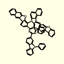 c1ccc(-n2c3ccccc3c3ccc(-c4nc(-c5ccc6sc7ccccc7c6c5)nc(-c5ccc6c(oc7cc8ccccc8cc76)c5-n5c6cc7ccccc7cc6c6c7ccccc7ccc65)n4)cc32)cc1